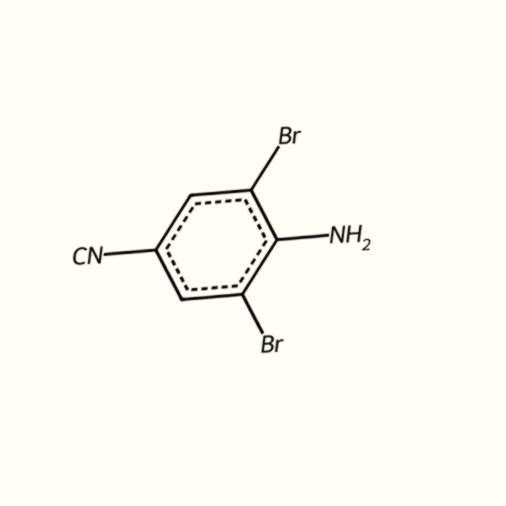 [C-]#[N+]c1cc(Br)c(N)c(Br)c1